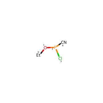 CCOP(Cl)C#N